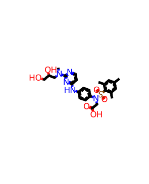 Cc1cc(C)c(S(=O)(=O)N(CC(=O)O)c2ccc(Nc3ccnc(N(C)CC(O)CO)n3)cc2)c(C)c1